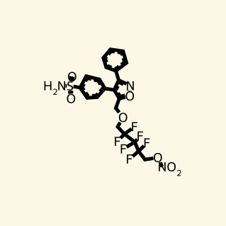 NS(=O)(=O)c1ccc(-c2c(-c3ccccc3)noc2COCC(F)(F)C(F)(F)C(F)(F)CO[N+](=O)[O-])cc1